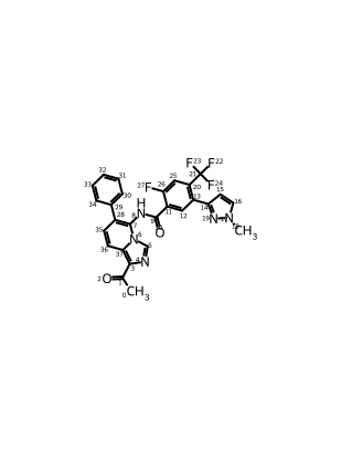 CC(=O)c1ncn2c(NC(=O)c3cc(-c4ccn(C)n4)c(C(F)(F)F)cc3F)c(-c3ccccc3)ccc12